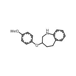 COc1ccc(OC2CCc3ccccc3NC2)cc1